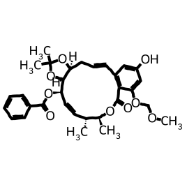 COCOc1cc(O)cc2c1C(=O)O[C@@H](C)[C@H](C)/C=C\[C@@H](OC(=O)c1ccccc1)[C@H]1OC(C)(C)O[C@H]1C/C=C/2